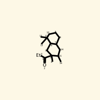 CCC(=O)C1(C)CC2C(CCCC2(C)C)CC1C